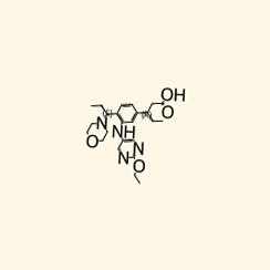 CCOc1ncc(Nc2cc([C@H](CC)CC(=O)O)ccc2[C@H](CC)N2CCOCC2)cn1